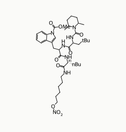 CCCC[C@@H](NC(=O)C(Cc1cn(C(=O)OC)c2ccccc12)NC(=O)C(CC(C)(C)C)NC(=O)N1C(C)CCCC1C)C(=O)NCCCCCCO[N+](=O)[O-]